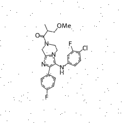 COCC(C)C(=O)N1CCn2c(nc(-c3ccc(F)cc3)c2Nc2ccc(Cl)c(F)c2)C1